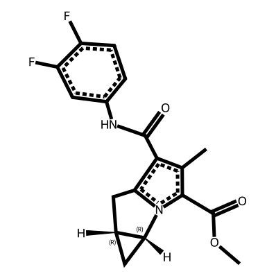 COC(=O)c1c(C)c(C(=O)Nc2ccc(F)c(F)c2)c2n1[C@@H]1C[C@@H]1C2